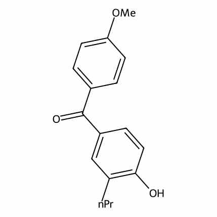 CCCc1cc(C(=O)c2ccc(OC)cc2)ccc1O